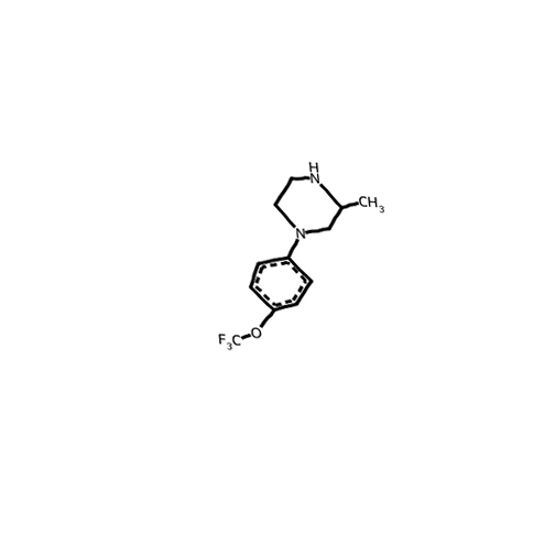 CC1CN(c2ccc(OC(F)(F)F)cc2)CCN1